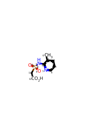 Cc1cccnc1NS(=O)(=O)CC(=O)O